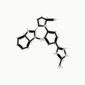 Cn1c([C@@H]2CCC(=O)N2c2ccc(-c3noc(C(F)(F)F)n3)cc2)nc2ccccc21